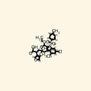 CCOC(=O)c1c(CC(C)(C)/C=C(/C(=O)O)c2ccoc2)c2c(Cl)cc(Cl)cc2n1S(=O)(=O)c1ccc(C)cc1